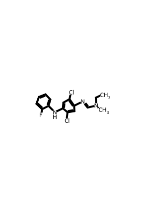 CCN(C)C=Nc1cc(Cl)c(Nc2ccccc2F)cc1Cl